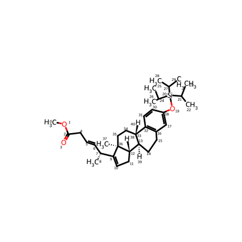 COC(=O)C/C=C/[C@@H](C)C1=CC[C@H]2[C@@H]3CCc4cc(O[Si](C(C)C)(C(C)C)C(C)C)ccc4[C@H]3CC[C@]12C